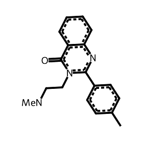 CNCCn1c(-c2ccc(C)cc2)nc2ccccc2c1=O